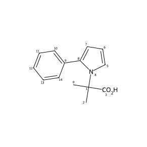 CC(C)(C(=O)O)n1cccc1-c1ccccc1